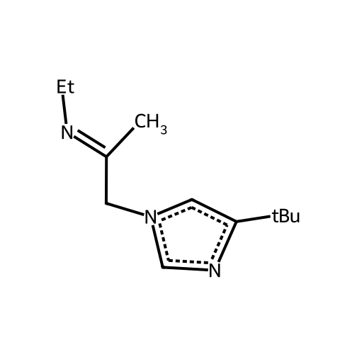 CC/N=C(\C)Cn1cnc(C(C)(C)C)c1